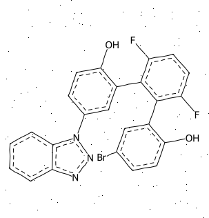 Oc1ccc(Br)cc1-c1c(F)ccc(F)c1-c1cc(-n2nnc3ccccc32)ccc1O